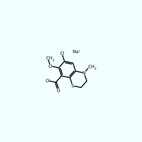 COc1c(Cl)cc2c(c1C(=O)[O-])SCCN2C.[Na+]